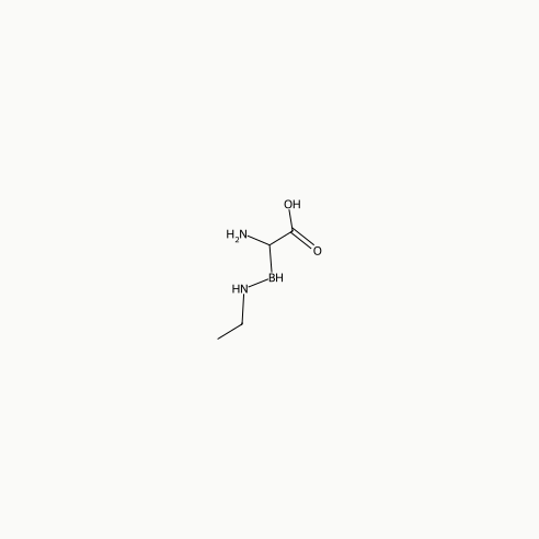 CCNBC(N)C(=O)O